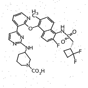 Cc1ccc2c(NS(=O)(=O)C[C@H]3CCC3(F)F)c(F)ccc2c1Oc1ncccc1-c1ccnc(NC2CCCN(C(=O)O)C2)n1